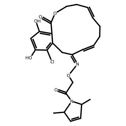 CC1C=CC(C)N1C(=O)CO/N=C1/C=C/CC/C=C/CCOC(=O)c2c(O)cc(O)c(Cl)c2C1